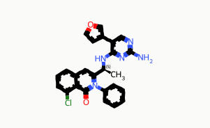 C[C@H](Nc1nc(N)ncc1-c1ccoc1)c1cc2cccc(Cl)c2c(=O)n1-c1ccccc1